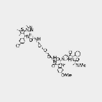 CNC(C)C(=O)NC(C(=O)N1CCN(C(=O)c2c(C(=O)NCCOCCOCCOCCNC(=O)C[C@@H]3N=C(c4ccc(Cl)cc4)c4c(sc(C)c4C)-n4c(C)nnc43)c3ccc(OC)cc3n2C)CC1)C1CCCCC1